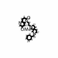 COc1cnc2ccc(=O)n(CCN3CCC4(CCN(CC5CC=CCC5)C4)C3)c2c1